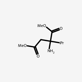 COC(=O)CC(N)(C(=O)OC)C(C)C